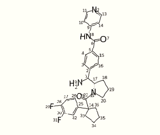 NC(c1ccc(C(=O)Nc2ccncc2)cc1)C1CCCN1C(=O)C1(c2ccc(F)c(F)c2)CCCC1